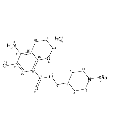 CCCCN1CCC(COC(=O)c2cc(Cl)c(N)c3c2OCCC3)CC1.Cl